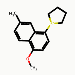 COc1ccc([S+]2CCCC2)c2cc(C)ccc12